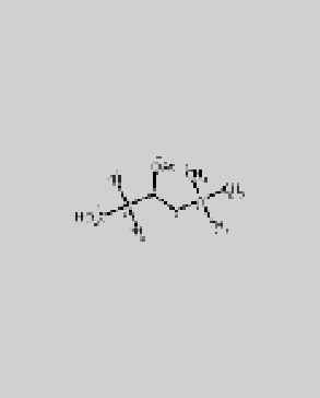 [2H]C([2H])(C(=O)O)[C@H](C[N+](C)(C)C)OC(C)=O